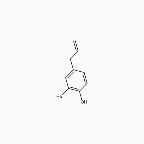 C=CCc1ccc(O)c(S)c1